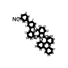 N#Cc1cccc(-c2ccc3c(c2)c2ccccc2n3-c2cccc3c2C(=O)N(c2cccc(-c4ccccc4)c2-c2ccccc2)C3=O)c1